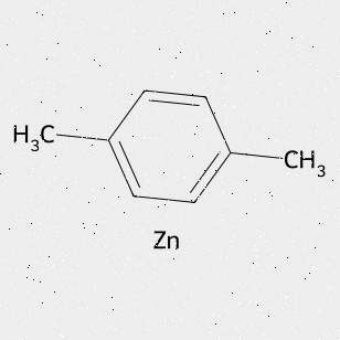 Cc1ccc(C)cc1.[Zn]